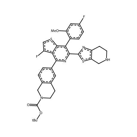 COc1cc(F)ccc1-c1c(-c2nc3c(s2)CNCC3)nc(-c2ccc3c(c2)CCN(C(=O)OC(C)(C)C)C3)c2c(F)csc12